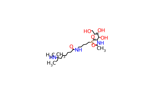 CCC(C)(CCCCCC(=O)NCCCCCS[C@@H]1OC(CO)[C@H](O)C(O)C1NC(C)=O)NC